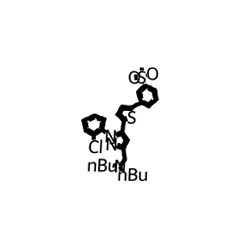 CCCCN(CCCC)Cc1cc(-c2ccc(-c3cccc(S(C)(=O)=O)c3)s2)n(-c2ccccc2Cl)n1